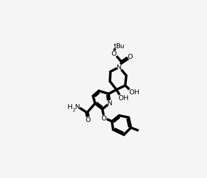 Cc1ccc(Oc2nc(C3(O)CCN(C(=O)OC(C)(C)C)CC3O)ccc2C(N)=O)cc1